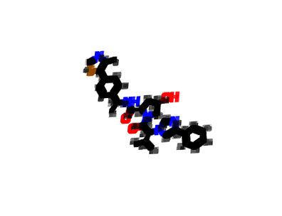 Cc1ncsc1-c1ccc([C@H](C)NC(=O)[C@@H]2C[C@@H](O)CN2C(=O)[C@H](C(C)C)n2cnc(-c3ccccc3)c2)cc1